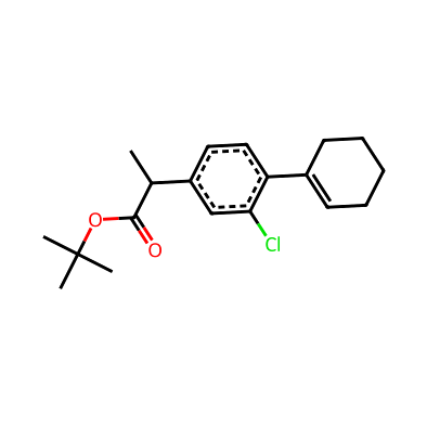 CC(C(=O)OC(C)(C)C)c1ccc(C2=CCCCC2)c(Cl)c1